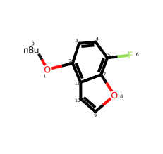 CCCCOc1ccc(F)c2occc12